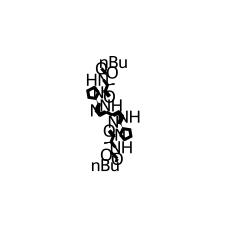 CCCCOC(=O)N[C@@H](C)C(=O)N1CCC[C@H]1c1nc(-c2cnc([C@@H]3CCCN3C(=O)[C@H](C)NC(=O)OCCCC)[nH]2)c[nH]1